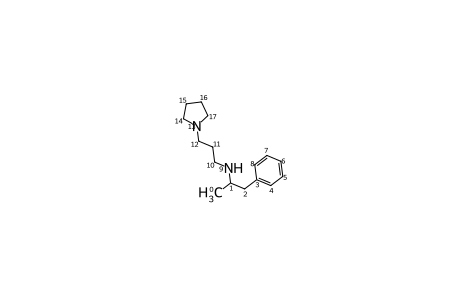 CC(Cc1ccccc1)NCCCN1CCCC1